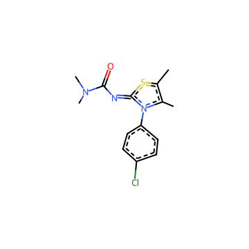 Cc1sc(=NC(=O)N(C)C)n(-c2ccc(Cl)cc2)c1C